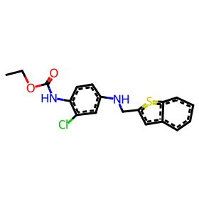 CCOC(=O)Nc1ccc(NCc2cc3ccccc3s2)cc1Cl